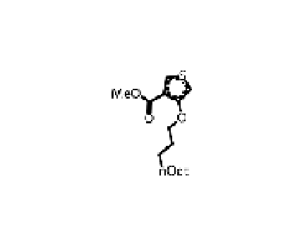 CCCCCCCCCCCOc1cscc1C(=O)OC